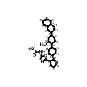 CCCCC(=O)Nc1cnc(-c2cccnc2-c2ccc(-c3ccc(-c4ccc5ccccc5c4)cc3O)cc2)o1